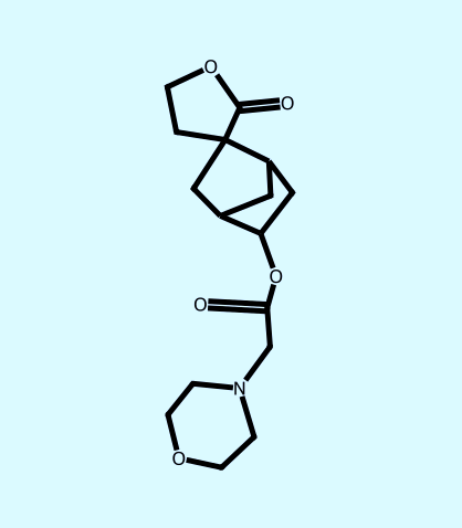 O=C(CN1CCOCC1)OC1CC2CC1CC21CCOC1=O